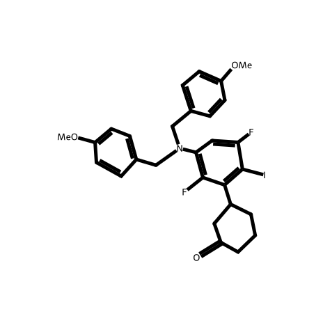 COc1ccc(CN(Cc2ccc(OC)cc2)c2cc(F)c(I)c(C3CCCC(=O)C3)c2F)cc1